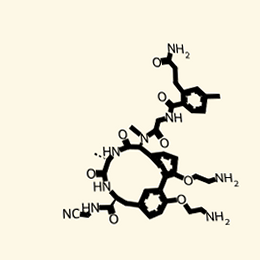 Cc1ccc(C(=O)NCC(=O)N(C)[C@@H]2C(=O)N[C@@H](C)C(=O)N[C@H](C(=O)NCC#N)Cc3ccc(OCCN)c(c3)-c3cc2ccc3OCCN)c(CCC(N)=O)c1